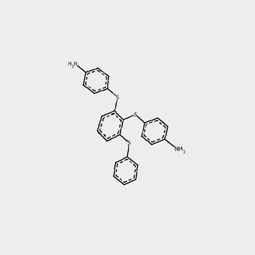 Nc1ccc(Sc2cccc(Sc3ccccc3)c2Sc2ccc(N)cc2)cc1